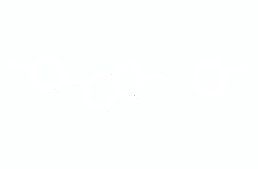 Fc1ccc(OCc2cn3cc(-c4ccc(F)cn4)cnc3n2)cc1